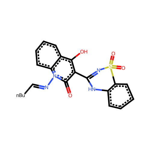 CCCC/C=N/n1c(=O)c(C2=NS(=O)(=O)c3ccccc3N2)c(O)c2ccccc21